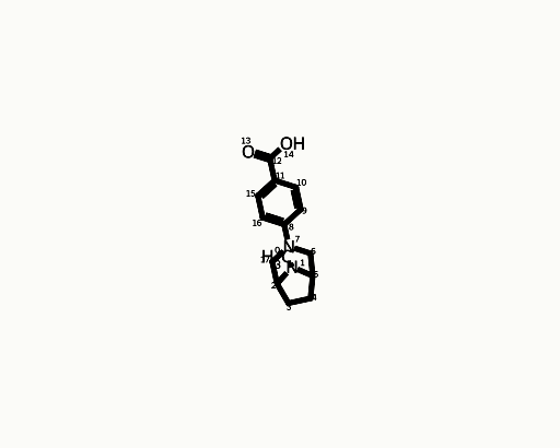 CN1C2CCC1CN(c1ccc(C(=O)O)cc1)C2